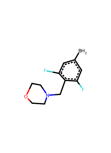 Bc1cc(F)c(CN2CCOCC2)c(F)c1